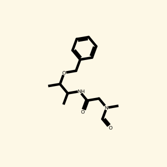 CC(NC(=O)CN(C)C=O)C(C)OCc1ccccc1